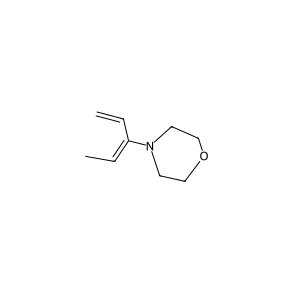 C=CC(=CC)N1CCOCC1